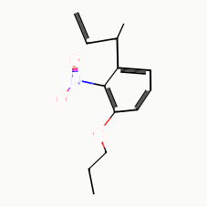 [CH2]C(C=C)c1cccc(OCCC)c1[N+](=O)[O-]